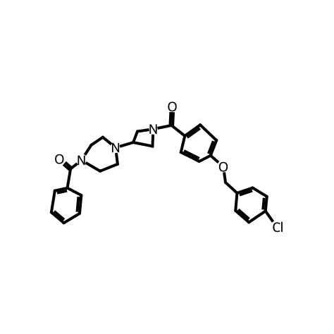 O=C(c1ccccc1)N1CCN(C2CN(C(=O)c3ccc(OCc4ccc(Cl)cc4)cc3)C2)CC1